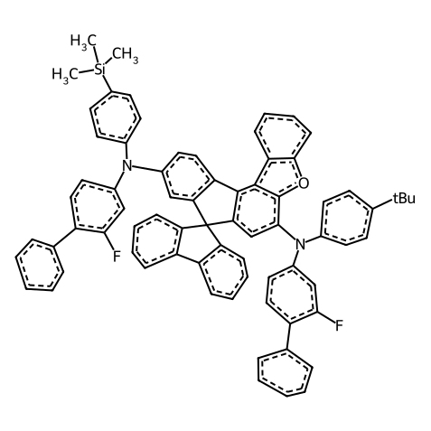 CC(C)(C)c1ccc(N(c2ccc(-c3ccccc3)c(F)c2)c2cc3c(c4c2oc2ccccc24)-c2ccc(N(c4ccc([Si](C)(C)C)cc4)c4ccc(-c5ccccc5)c(F)c4)cc2C32c3ccccc3-c3ccccc32)cc1